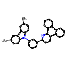 CC(C)(C)c1ccc2c(c1)c1cc(C(C)(C)C)ccc1n2-c1cccc(-c2ccc3c4ccccc4c4ccccc4c3n2)c1